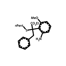 CCCCCSC(Cc1ccccc1)(C(=O)OCC)c1c(N)cccc1OC